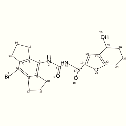 O=C(Nc1c2c(c(Br)c3c1CCC3)CCC2)N[S+]([O-])c1cc2c(o1)CCCC2O